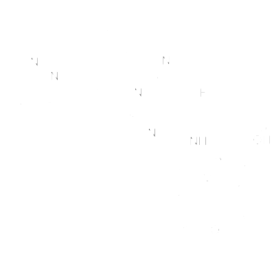 CN(Cc1ccc(-n2cccn2)cc1)c1ncnc(NCC2(CCO)CCOCC2)c1F